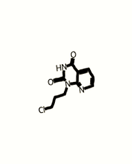 O=c1[nH]c(=O)n(CCCCl)c2ncccc12